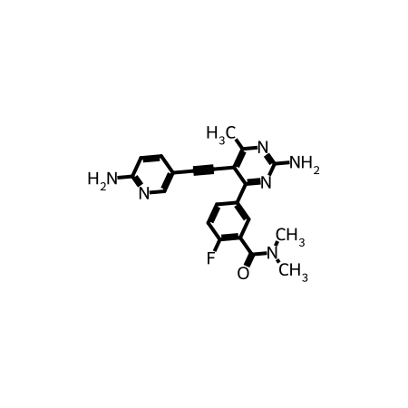 Cc1nc(N)nc(-c2ccc(F)c(C(=O)N(C)C)c2)c1C#Cc1ccc(N)nc1